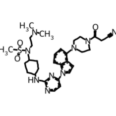 CN(C)CCN(C1CCC(Nc2nccc(-n3ccc4c(N5CCN(C(=O)CC#N)CC5)cccc43)n2)CC1)S(C)(=O)=O